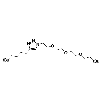 CC(C)(C)CCCCc1cn(CCOCCOCCOCCC(C)(C)C)nn1